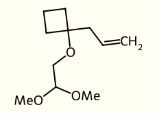 C=CCC1(OCC(OC)OC)CCC1